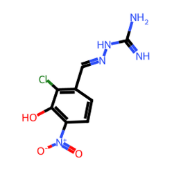 N=C(N)NN=Cc1ccc([N+](=O)[O-])c(O)c1Cl